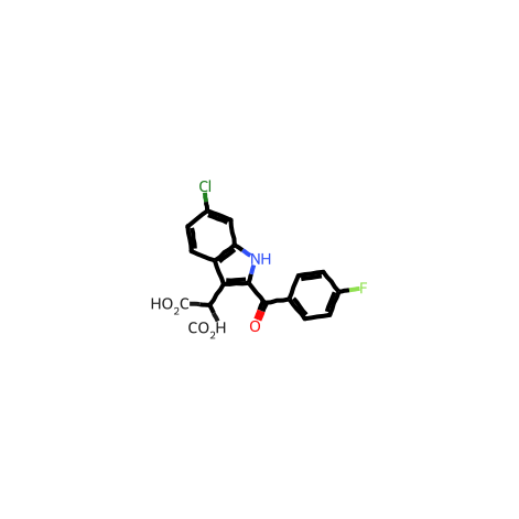 O=C(c1ccc(F)cc1)c1[nH]c2cc(Cl)ccc2c1C(C(=O)O)C(=O)O